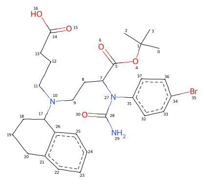 CC(C)(C)OC(=O)C(CCN(CCCC(=O)O)C1CCCc2ccccc21)N(C(N)=O)c1ccc(Br)cc1